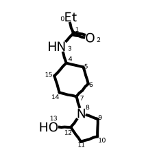 CCC(=O)NC1CCC(N2CCCC2O)CC1